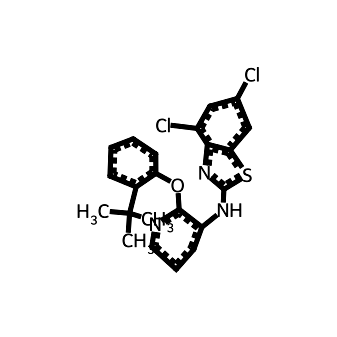 CC(C)(C)c1ccccc1Oc1ncccc1Nc1nc2c(Cl)cc(Cl)cc2s1